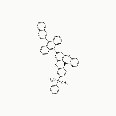 CC(C)(c1ccccc1)c1ccc2c(c1)Sc1cc(-c3c4ccccc4c(-c4ccc5ccccc5c4)c4ccccc34)cc3c1B2c1ccccc1S3